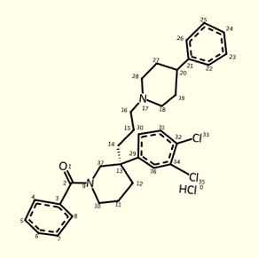 Cl.O=C(c1ccccc1)N1CCC[C@](CCCN2CCC(c3ccccc3)CC2)(c2ccc(Cl)c(Cl)c2)C1